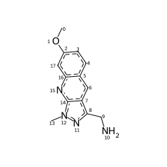 COc1ccc2cc3c(CN)nn(C)c3nc2c1